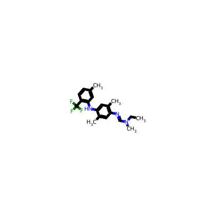 CCN(C)C=Nc1cc(C)c(Nc2cc(C)ccc2C(F)(F)F)cc1C